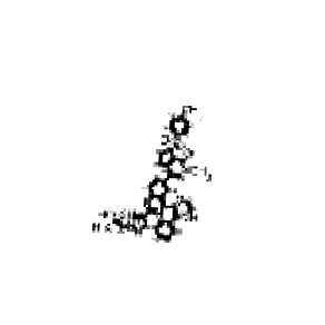 Cc1ccc(S(=O)(=O)n2ccc3c(-c4ccc5nc(-c6cnn(CC(C)(C)O)c6)nc([C@H]6OCCNC6c6ccccc6)c5c4)cn(C)c(=O)c32)cc1